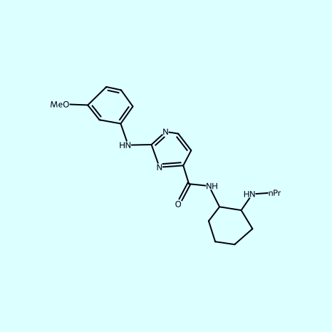 CCCNC1CCCCC1NC(=O)c1ccnc(Nc2cccc(OC)c2)n1